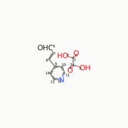 O=C(O)C(=O)O.O=CC=Cc1ccncc1